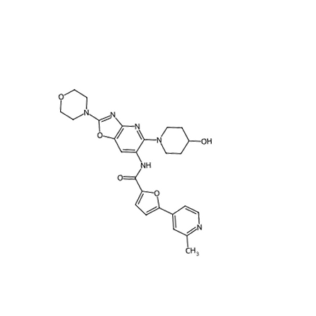 Cc1cc(-c2ccc(C(=O)Nc3cc4oc(N5CCOCC5)nc4nc3N3CCC(O)CC3)o2)ccn1